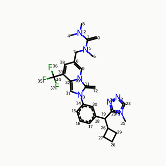 C=C(N(C)C)N(C)CC1=CN2C(=C)N(c3cccc(C(c4nncn4C)C4CCC4)c3)C=C2C(C(F)(F)F)=C1